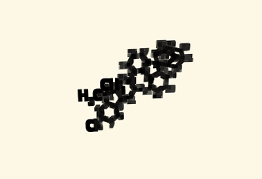 CC1(C)c2cc(Cl)ccc2-c2ccc(-c3cccc4c3-c3ccccc3C43C4CC5CC(C4)CC3C5)cc21